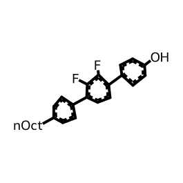 CCCCCCCCc1ccc(-c2ccc(-c3ccc(O)cc3)c(F)c2F)cc1